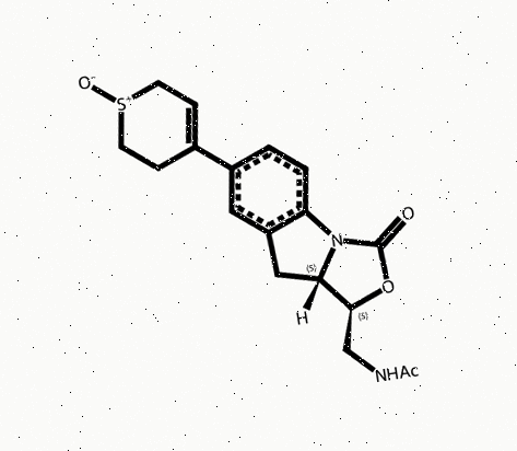 CC(=O)NC[C@@H]1OC(=O)N2c3ccc(C4=CC[S+]([O-])CC4)cc3C[C@@H]12